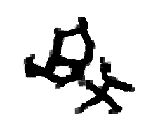 CC(C)c1scc2c1CNC2.O=C(O)C(F)(F)F